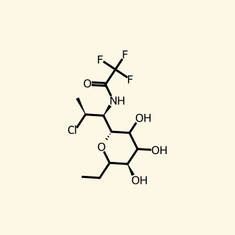 CCC1O[C@H]([C@H](NC(=O)C(F)(F)F)[C@H](C)Cl)C(O)C(O)[C@H]1O